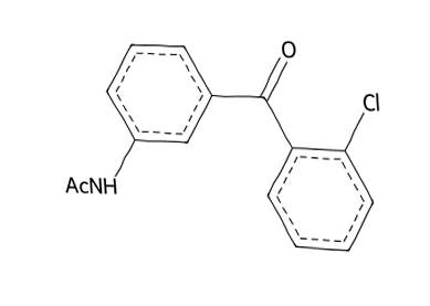 CC(=O)Nc1cccc(C(=O)c2ccccc2Cl)c1